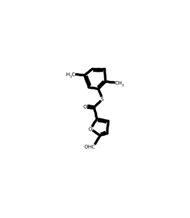 Cc1ccc(C)c(SC(=O)c2ccc(C=O)o2)c1